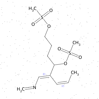 C=N/C=C(\C=C/C)C(CCCOS(C)(=O)=O)OS(C)(=O)=O